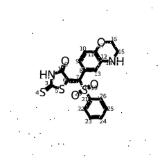 O=C1NC(=S)SC1=C(c1ccc2c(c1)NCCO2)S(=O)(=O)c1ccccc1